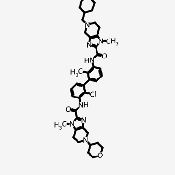 Cc1c(NC(=O)c2nc3c(n2C)CCN(CC2CCCCC2)C3)cccc1-c1cccc(NC(=O)c2nc3c(n2C)CCN(C2CCOCC2)C3)c1Cl